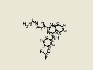 C=C(/C=C\N=C/N)c1nc(Nc2cccc(OC(F)F)c2)c2ccccc2n1